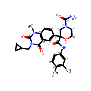 CC(C)n1c(=O)n(CC2CC2)c(=O)c2cc(C3(C(=O)Nc4ccc(C#N)c(C#N)c4)CN(C(N)=O)CCO3)ccc21